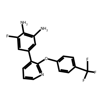 Nc1cc(-c2cccnc2Oc2ccc(C(F)(F)F)cc2)cc(F)c1N